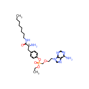 CCCCCCCCNC(=O)[C@@H](N)Cc1ccc(OP(=O)(COCCn2cnc3c(N)ncnc32)OCC)cc1